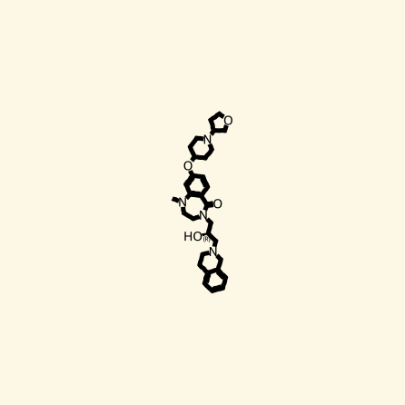 CN1CCN(C[C@H](O)CN2CCc3ccccc3C2)C(=O)c2ccc(OC3CCN(C4CCOC4)CC3)cc21